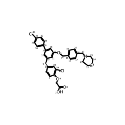 O=C(O)COc1ccc(Sc2cc(OCc3ccc(CN4CCOCC4)cc3)cc(-c3ccc(Cl)cc3)c2)cc1Cl